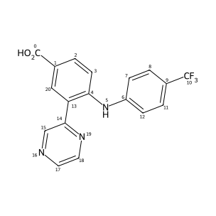 O=C(O)c1ccc(Nc2ccc(C(F)(F)F)cc2)c(-c2cnccn2)c1